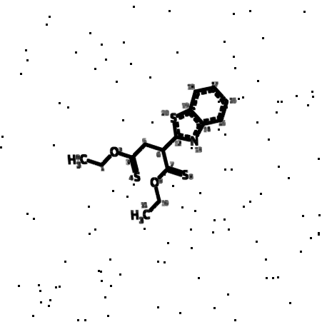 CCOC(=S)CC(C(=S)OCC)c1nc2ccccc2s1